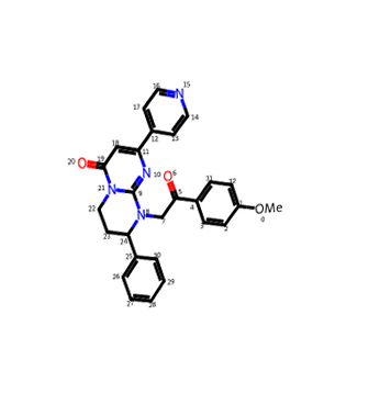 COc1ccc(C(=O)CN2c3nc(-c4ccncc4)cc(=O)n3CCC2c2ccccc2)cc1